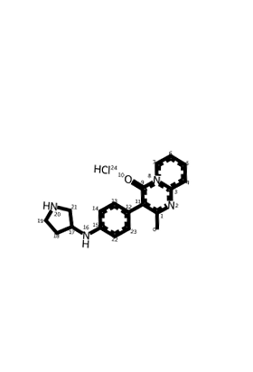 Cc1nc2ccccn2c(=O)c1-c1ccc(NC2CCNC2)cc1.Cl